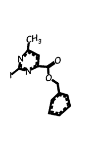 Cc1cc(C(=O)OCc2ccccc2)nc(I)n1